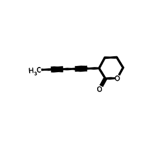 CC#CC#CC1CCCOC1=O